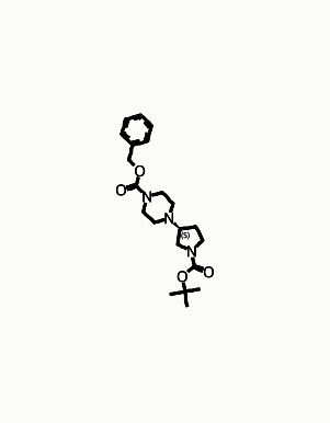 CC(C)(C)OC(=O)N1CC[C@H](N2CCN(C(=O)OCc3ccccc3)CC2)C1